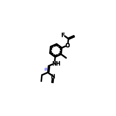 C=N/C(=C\Nc1cccc(OC(=C)F)c1C)CC